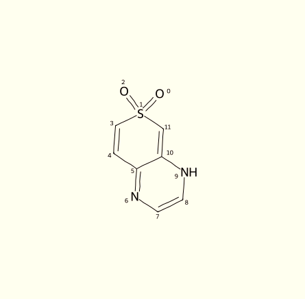 O=S1(=O)C=CC2=NC=CNC2=C1